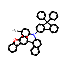 CC(C)(C)c1ccc(N(c2ccc3c(c2)-c2ccccc2C3(c2ccccc2)c2ccccc2)c2ccc3ccccc3c2-c2ccc3oc4ccccc4c3c2)cc1